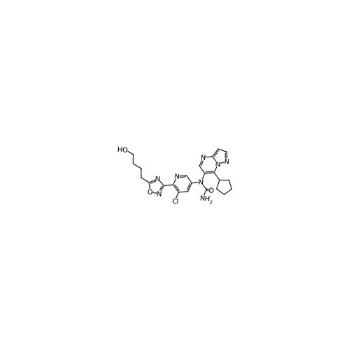 NC(=O)N(c1cnc(-c2noc(CCCCO)n2)c(Cl)c1)c1cnc2ccnn2c1C1CCCC1